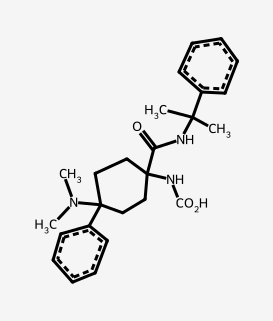 CN(C)C1(c2ccccc2)CCC(NC(=O)O)(C(=O)NC(C)(C)c2ccccc2)CC1